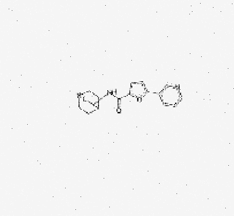 O=C(NC1CN2CCC1CC2)c1ccc(-c2cccnc2)o1